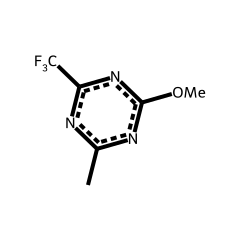 COc1nc(C)nc(C(F)(F)F)n1